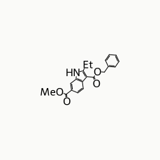 CCc1[nH]c2cc(C(=O)OC)ccc2c1C(=O)OCc1ccccc1